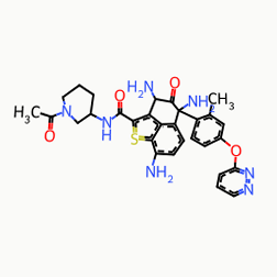 CC(=O)N1CCCC(NC(=O)c2sc3c(N)ccc4c3c2C(N)C(=O)C4(N)c2ccc(Oc3cccnn3)cc2C)C1